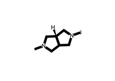 CN1CC2CN(I)C[C@H]2C1